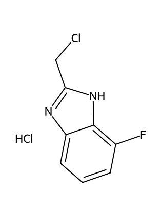 Cl.Fc1cccc2nc(CCl)[nH]c12